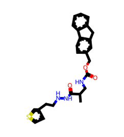 CC(CNC(=O)OCc1ccc2c(c1)Cc1ccccc1-2)C(=O)NNCCc1ccsc1